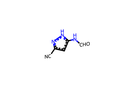 N#Cc1cc(NC=O)[nH]n1